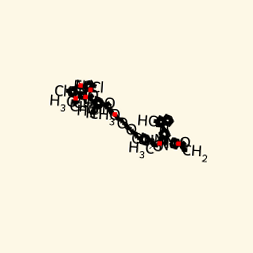 C=CC(=O)N1CCN(c2nc(O[C@H](C)CN3CCC(OCCOCCOCCOCCNC(=O)c4ccc(NC(=O)[C@@H]5N[C@@H](CC(C)(C)C)[C@](C#N)(c6ccc(Cl)cc6F)C5c5cccc(Cl)c5F)c(OC)c4)CC3)nc3c2CCN(c2cc(O)cc4ccccc24)C3)CC1